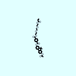 C=CC(=O)OCCOCCOCCOC(=O)c1ccc(C(=O)Oc2ccc3c(c2)C(C)(C)c2cc(OC(C)=O)ccc2-3)cc1